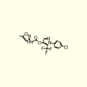 Cc1cc(NC(=O)Oc2cnn(-c3ccc(Cl)cc3)c2C(F)(F)F)no1